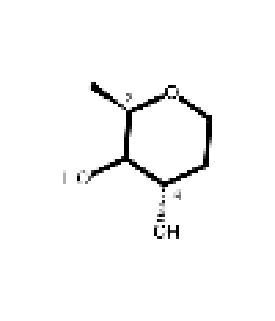 C[C@H]1OCC[C@H](O)C1O